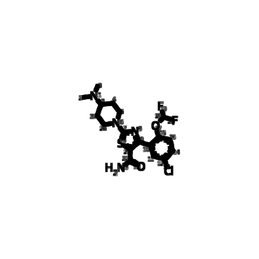 CN(C)C1CCN(c2nc(-c3cc(Cl)ccc3OC(F)F)c(C(N)=O)s2)CC1